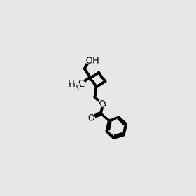 CC1(CO)CCC1COC(=O)c1ccccc1